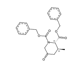 C[C@H]1CC(=O)CN(C(=O)OCc2ccccc2)[C@@H]1C(=O)OCc1ccccc1